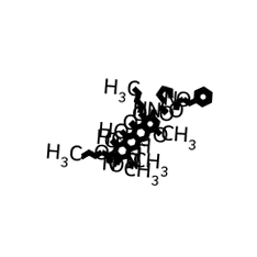 CCCCOc1noc2c1C(=O)[C@@]1(O)C(O)=C3C(=O)c4c(c(OC)cc(NC(=O)[C@H]5CCCN5C(=O)OCc5ccccc5)c4OCCCC)C[C@H]3C[C@H]1[C@@H]2N(C)C